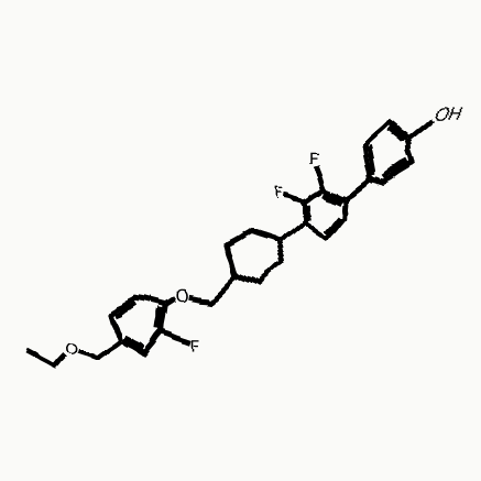 CCOCc1ccc(OCC2CCC(c3ccc(-c4ccc(O)cc4)c(F)c3F)CC2)c(F)c1